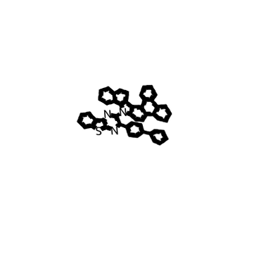 c1ccc(-c2ccc(-c3nc4sc5ccccc5c4nc3-n3c4ccc5c6ccccc6c6ccccc6c5c4c4ccc5ccccc5c43)cc2)cc1